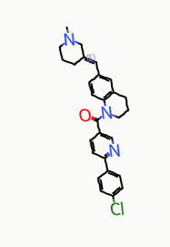 CN1CCC/C(=C\c2ccc3c(c2)CCCN3C(=O)c2ccc(-c3ccc(Cl)cc3)nc2)C1